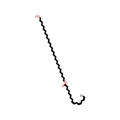 CC/C=C\C/C=C\C/C=C\CCCCCCCC(=O)OCCCCCCCCCCCCCCCCCCCCCCCCCCCCCCO